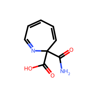 NC(=O)C1(C(=O)O)C=CC=CC=N1